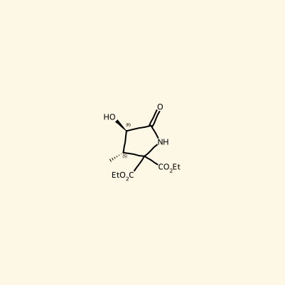 CCOC(=O)C1(C(=O)OCC)NC(=O)[C@H](O)[C@H]1C